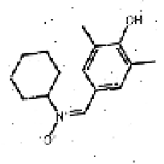 Cc1cc(/C=[N+](/[O-])C2CCCCC2)cc(C)c1O